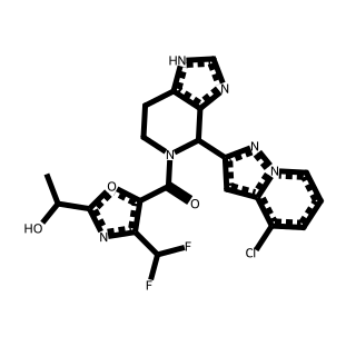 CC(O)c1nc(C(F)F)c(C(=O)N2CCc3[nH]cnc3C2c2cc3c(Cl)cccn3n2)o1